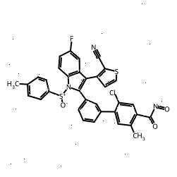 Cc1ccc([S+]([O-])n2c(-c3cccc(-c4cc(C)c(C(=O)N=O)cc4Cl)c3)c(-c3ccsc3C#N)c3cc(F)ccc32)cc1